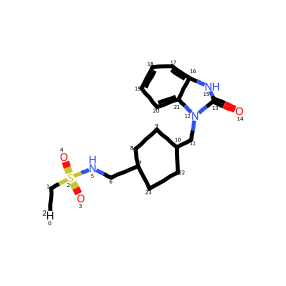 [2H]CS(=O)(=O)NCC1CCC(Cn2c(=O)[nH]c3ccccc32)CC1